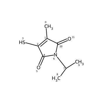 CC1=C(S)C(=O)N(C(C)C)C1=O